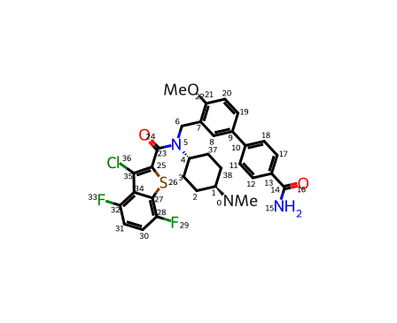 CN[C@H]1CC[C@H](N(Cc2cc(-c3ccc(C(N)=O)cc3)ccc2OC)C(=O)c2sc3c(F)ccc(F)c3c2Cl)CC1